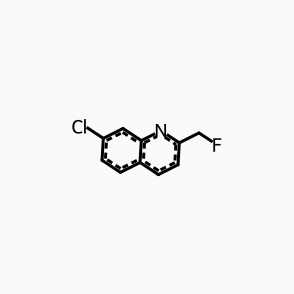 FCc1ccc2ccc(Cl)cc2n1